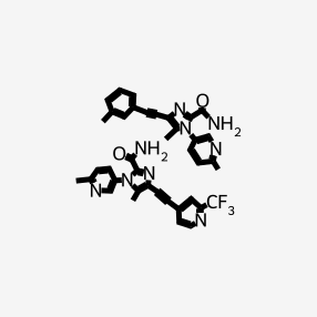 Cc1ccc(-n2c(C(N)=O)nc(C#Cc3ccnc(C(F)(F)F)c3)c2C)cn1.Cc1cccc(C#Cc2nc(C(N)=O)n(-c3ccc(C)nc3)c2C)c1